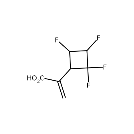 C=C(C(=O)O)C1C(F)C(F)C1(F)F